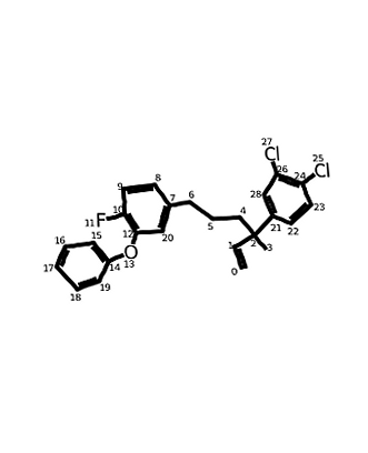 C=CC(C)(CCCc1ccc(F)c(Oc2ccccc2)c1)c1ccc(Cl)c(Cl)c1